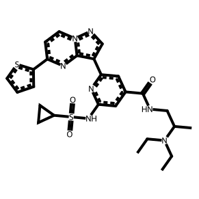 CCN(CC)C(C)CNC(=O)c1cc(NS(=O)(=O)C2CC2)nc(-c2cnn3ccc(-c4cccs4)nc23)c1